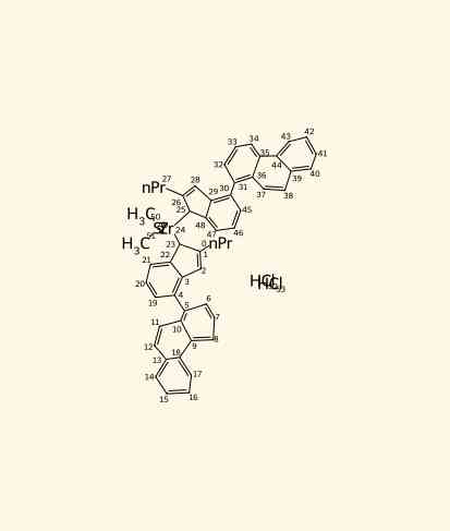 CCCC1=Cc2c(-c3cccc4c3ccc3ccccc34)cccc2[CH]1[Zr]([CH]1C(CCC)=Cc2c(-c3cccc4c3ccc3ccccc34)cccc21)=[Si](C)C.Cl.Cl